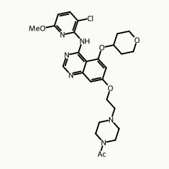 COc1ccc(Cl)c(Nc2ncnc3cc(OCCN4CCN(C(C)=O)CC4)cc(OC4CCOCC4)c23)n1